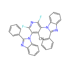 N#Cc1c(-n2c(-c3ccccc3)nc3ccccc32)c(F)nc(F)c1-n1c(-c2ccccc2)nc2ccccc21